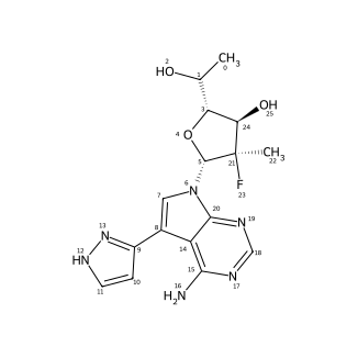 CC(O)[C@H]1O[C@@H](n2cc(-c3cc[nH]n3)c3c(N)ncnc32)[C@](C)(F)[C@@H]1O